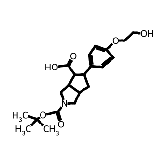 CC(C)(C)OC(=O)N1CC2CC(c3ccc(OCCO)cc3)C(C(=O)O)C2C1